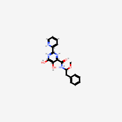 COC(Cc1ccccc1)NC(=O)c1nc(-c2ccccn2)nc(O)c1O